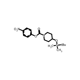 CC(C)(C)[Si](C)(C)OC1CCN(C(=O)Oc2ccc([N+](=O)[O-])cc2)CC1